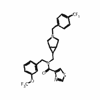 O=C(c1cscn1)N(Cc1cccc(OC(F)(F)F)c1)CC1C2CN(Cc3ccc(C(F)(F)F)cc3)CC21